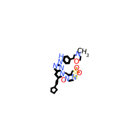 CN1CCOC(c2ccc(Nc3ncc4cc(C#CC5CCCC5)c(=O)n(Cc5nccnc5C[SH](=O)=O)c4n3)cc2)C1